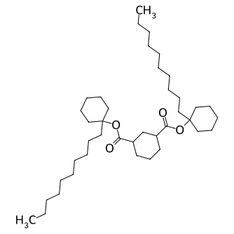 CCCCCCCCCCC1(OC(=O)C2CCCC(C(=O)OC3(CCCCCCCCCC)CCCCC3)C2)CCCCC1